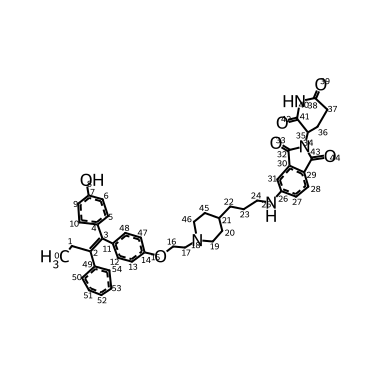 CCC(=C(c1ccc(O)cc1)c1ccc(OCCN2CCC(CCCNc3ccc4c(c3)C(=O)N(C3CCC(=O)NC3=O)C4=O)CC2)cc1)c1ccccc1